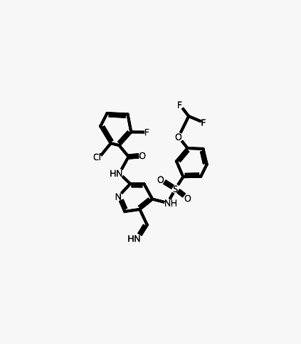 N=Cc1cnc(NC(=O)c2c(F)cccc2Cl)cc1NS(=O)(=O)c1cccc(OC(F)F)c1